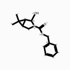 CC1(C)C2CN(C(=O)OCc3ccccc3)C(O)C21